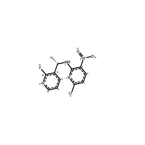 C[C@H](Nc1nc(Cl)ccc1[N+](=O)[O-])c1cccnc1F